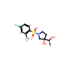 C[C@H](O)[C@@]1(O)CCN(S(=O)(=O)c2ccc(F)cc2C#N)C1